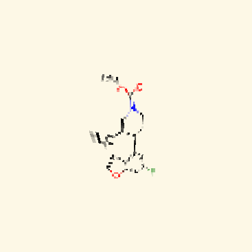 CC1CN(C(=O)OC(C)(C)C)CCC1c1cc(F)cc2occc12